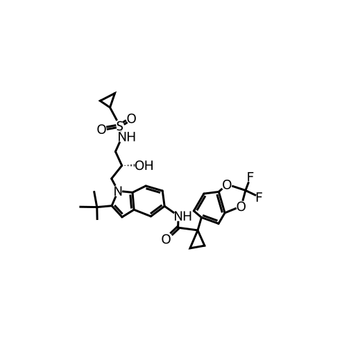 CC(C)(C)c1cc2cc(NC(=O)C3(c4ccc5c(c4)OC(F)(F)O5)CC3)ccc2n1C[C@@H](O)CNS(=O)(=O)C1CC1